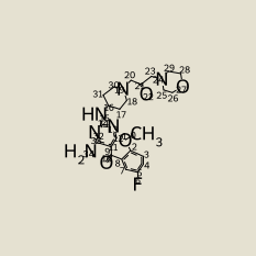 COc1ccc(F)cc1C(=O)c1cnc(NC2CCN(CC(=O)CN3CCOCC3)CC2)nc1N